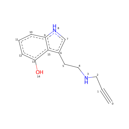 C#CCNCCc1c[nH]c2cccc(O)c12